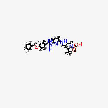 CC(C)(C)C1CC(CNc2ccc3nc(-c4ccc(OCc5ccccc5)cc4)[nH]c3n2)CCN1C(=O)O